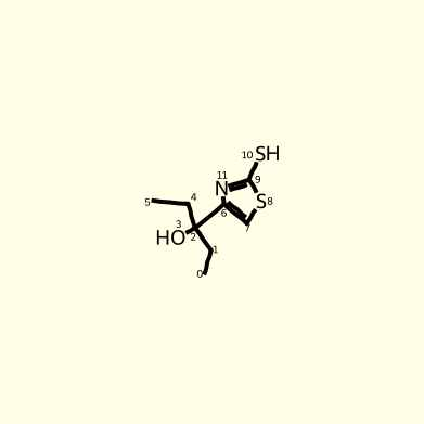 CCC(O)(CC)c1csc(S)n1